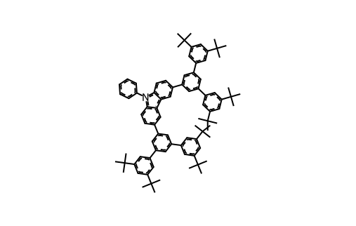 CC(C)(C)c1cc(-c2cc(-c3cc(C(C)(C)C)cc(C(C)(C)C)c3)cc(-c3ccc4c(c3)c3cc(-c5cc(-c6cc(C(C)(C)C)cc(C(C)(C)C)c6)cc(-c6cc(C(C)(C)C)cc(C(C)(C)C)c6)c5)ccc3n4-c3ccccc3)c2)cc(C(C)(C)C)c1